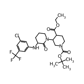 CCOC(=O)C1CCN(C(=O)OC(C)(C)C)CC1N1CCCC(Nc2cc(Cl)cc(C(F)(F)F)c2)C1=O